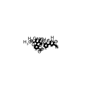 COC(=O)C1=C(C)NC(C)=C(C(=O)Oc2cccc(-c3cc(C#N)c(=O)[nH]c3C)c2)C1c1cccc([N+](=O)[O-])c1